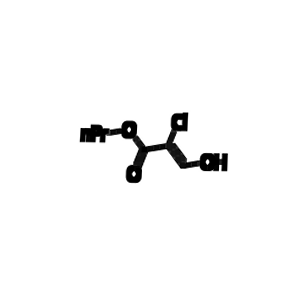 CCCOC(=O)C(Cl)=CO